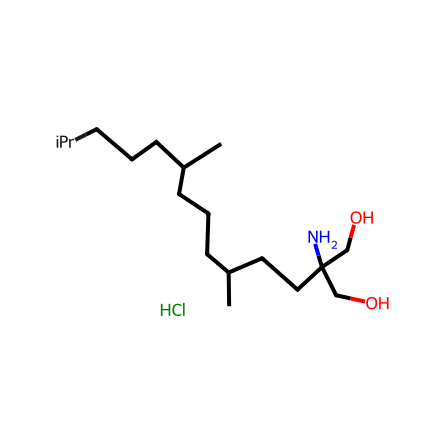 CC(C)CCCC(C)CCCC(C)CCC(N)(CO)CO.Cl